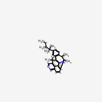 BC(B)(c1ccc2c(c1)C1=C3NC(C)(c4ccc5cncc(c5c43)C1(C)C)C2C)C(C)CC